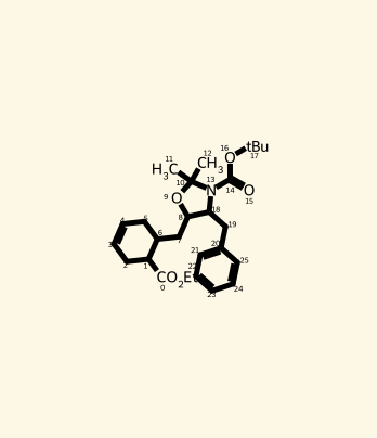 CCOC(=O)C1CC=CCC1CC1OC(C)(C)N(C(=O)OC(C)(C)C)C1Cc1ccccc1